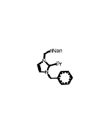 CCCCCCCCCCN1C=CN(Cc2ccccc2)C1C(C)C